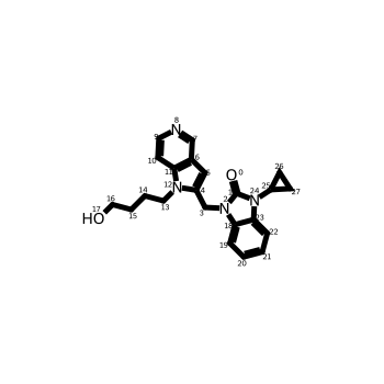 O=c1n(Cc2cc3cnccc3n2CCCCO)c2ccccc2n1C1CC1